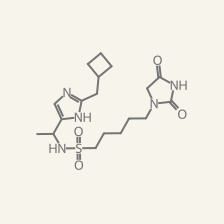 CC(NS(=O)(=O)CCCCCN1CC(=O)NC1=O)c1cnc(CC2CCC2)[nH]1